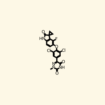 Cn1nc(-c2cc(Cl)c(Oc3ccc4c(c3F)C3(CC3)C(=O)N4)c(Cl)c2)c(=O)[nH]c1=O